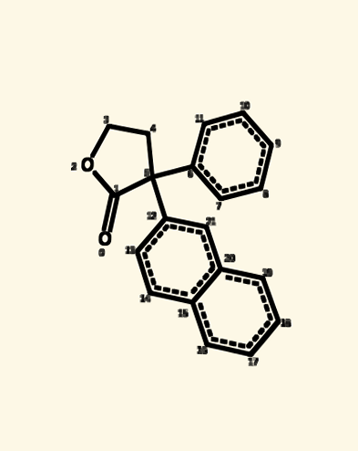 O=C1OCCC1(c1ccccc1)c1ccc2ccccc2c1